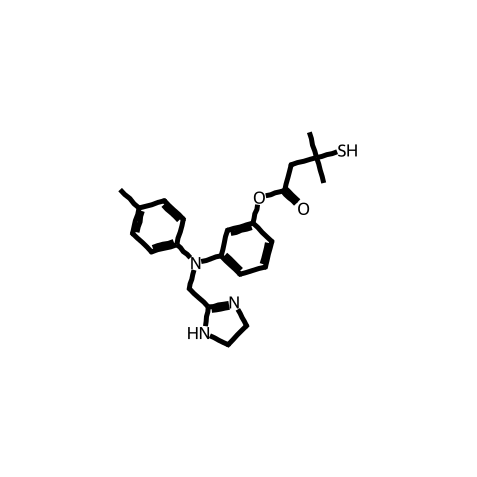 Cc1ccc(N(CC2=NCCN2)c2cccc(OC(=O)CC(C)(C)S)c2)cc1